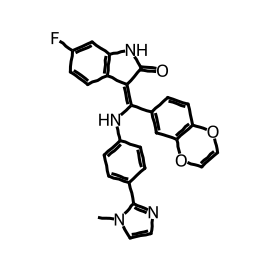 Cn1ccnc1-c1ccc(NC(=C2C(=O)Nc3cc(F)ccc32)c2ccc3c(c2)OC=CO3)cc1